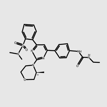 CCNC(=O)Nc1ccc(-c2cc(-c3ccccc3S(=O)(=O)N(C)C)nc(N3CCOC[C@@H]3C)n2)cc1